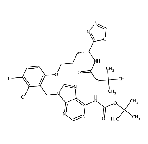 CC(C)(C)OC(=O)Nc1ncnc2c1ncn2Cc1c(OCCC[C@@H](NC(=O)OC(C)(C)C)c2nnco2)ccc(Cl)c1Cl